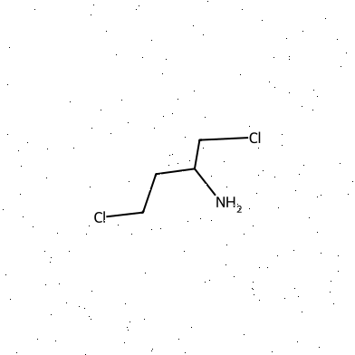 NC(CCl)CCCl